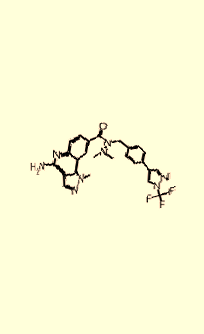 CN(C)N(Cc1ccc(-c2cnn(C(F)(F)F)c2)cc1)C(=O)c1ccc2nc(N)c3cnn(C)c3c2c1